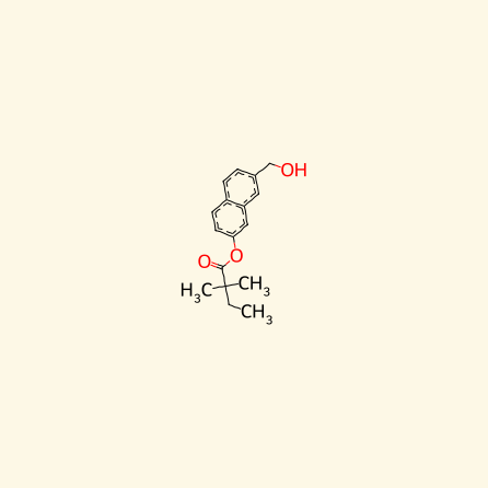 CCC(C)(C)C(=O)Oc1ccc2ccc(CO)cc2c1